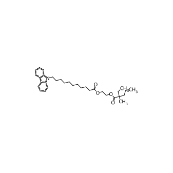 CCCC(C)(CC)C(=O)OCCOC(=O)CCCCCCCCCCn1c2ccccc2c2ccccc21